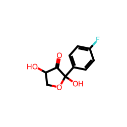 O=C1C(O)COC1(O)c1ccc(F)cc1